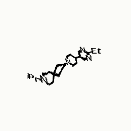 CCc1ncc(C2CCN(C3CC4(CCN(C(C)C)CC4)C3)CC2)cn1